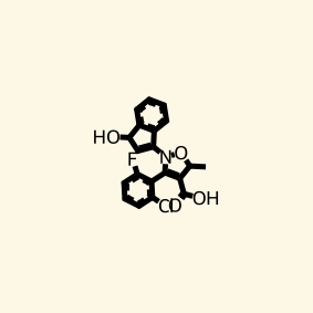 CC1ON(C2=CC(O)c3ccccc32)C(c2c(F)cccc2Cl)=C1C(=O)O